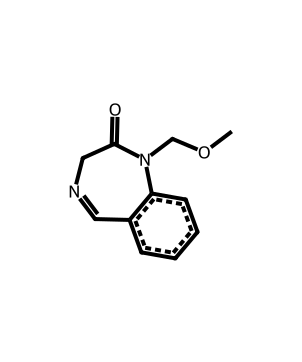 COCN1C(=O)CN=Cc2ccccc21